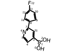 OB(O)c1ccnc(-c2ccc(F)cc2)c1